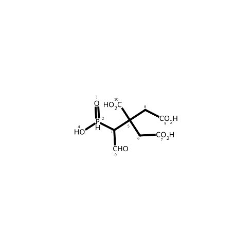 O=CC([PH](=O)O)C(CC(=O)O)(CC(=O)O)C(=O)O